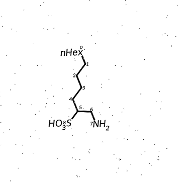 CCCCCCCCCCC(CN)S(=O)(=O)O